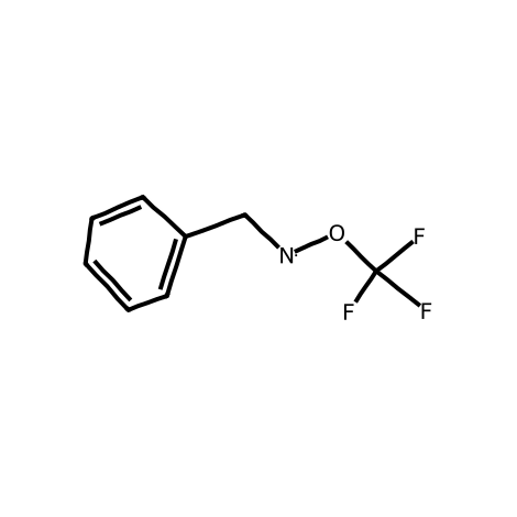 FC(F)(F)O[N]Cc1ccccc1